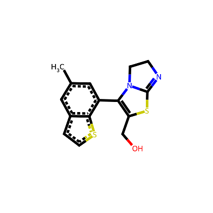 Cc1cc(C2=C(CO)SC3=NCCN32)c2sccc2c1